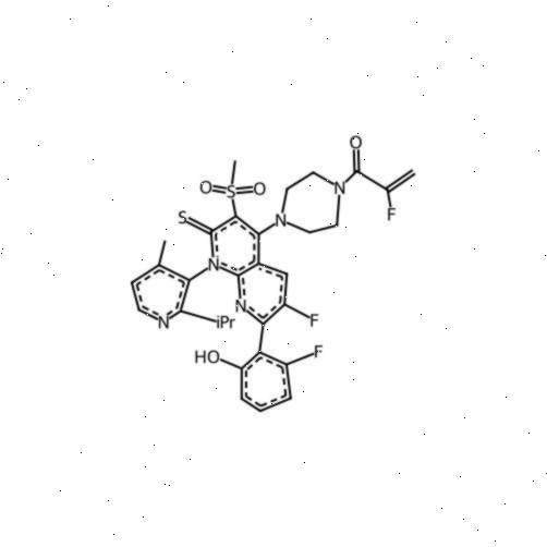 C=C(F)C(=O)N1CCN(c2c(S(C)(=O)=O)c(=S)n(-c3c(C)ccnc3C(C)C)c3nc(-c4c(O)cccc4F)c(F)cc23)CC1